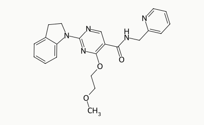 COCCOc1nc(N2CCc3ccccc32)ncc1C(=O)NCc1ccccn1